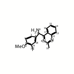 COc1ccc(C(N)c2nc(C)nc3ccccc23)cc1F